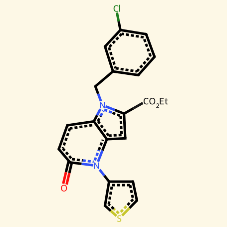 CCOC(=O)c1cc2c(ccc(=O)n2-c2ccsc2)n1Cc1cccc(Cl)c1